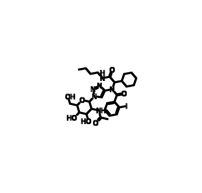 CCCCNC(=O)C(C1CCCCC1)N(C(=O)c1ccccc1I)c1cn(C2OC(CO)C(O)C(O)C2NC(C)=O)nn1